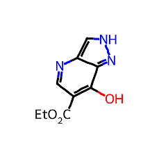 CCOC(=O)c1cnc2c[nH]nc2c1O